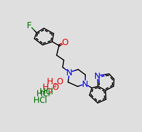 Cl.Cl.Cl.O.O.O=C(CCCN1CCN(c2cccc3cccnc23)CC1)c1ccc(F)cc1